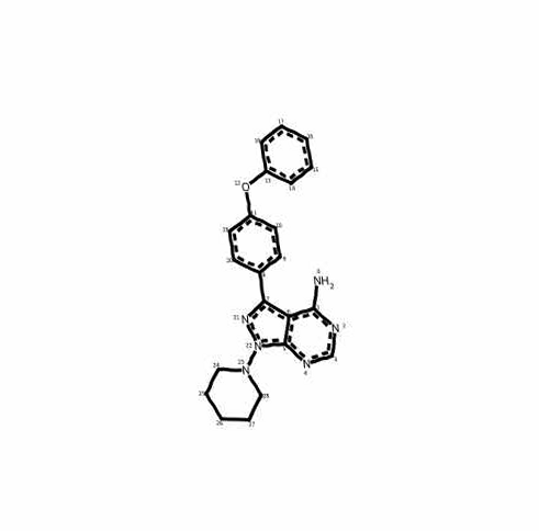 Nc1ncnc2c1c(-c1ccc(Oc3ccccc3)cc1)nn2N1CCCCC1